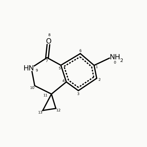 Nc1ccc2c(c1)C(=O)NCC21CC1